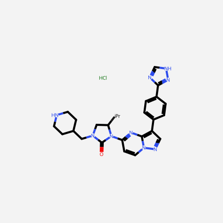 CC(C)C1CN(CC2CCNCC2)C(=O)N1c1ccn2ncc(-c3ccc(-c4nc[nH]n4)cc3)c2n1.Cl